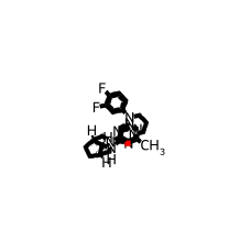 Cc1cc(N2C[C@H]3CC[C@@H](C2)[C@H]3Nc2nc3n(n2)CCCN3c2ccc(F)c(F)c2)cnn1